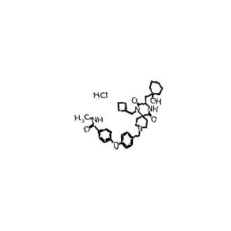 CNC(=O)c1ccc(Oc2ccc(CN3CCC4(CC3)C(=O)N[C@H](CC3(O)CCCCC3)C(=O)N4CC3CCC3)cc2)cc1.Cl